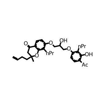 C=CCCC1(C)CC(=O)c2ccc(OCC(O)COc3ccc(C(C)=O)c(O)c3CCC)c(CCC)c2O1